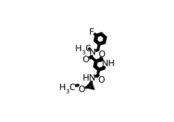 CCOC1CC1NC(=O)c1c[nH]c(=O)c(C(=O)N(C)Cc2cccc(F)c2)c1